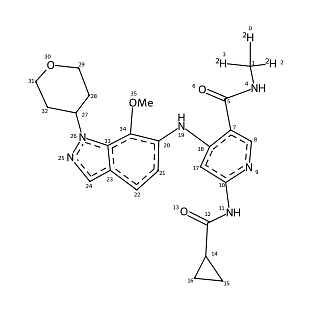 [2H]C([2H])([2H])NC(=O)c1cnc(NC(=O)C2CC2)cc1Nc1ccc2cnn(C3CCOCC3)c2c1OC